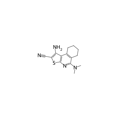 CN(C)c1nc2sc(C#N)c(N)c2c2c1CCCC2